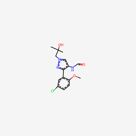 COc1ccc(Cl)cc1-c1nn(CC(C)(C)O)cc1NC=O